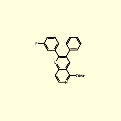 COc1nccc2nc(-c3cc[c]c(F)c3)c(-c3ccccc3)cc12